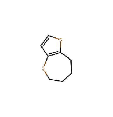 c1cc2c(s1)CCCCS2